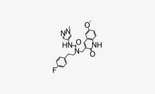 COc1ccc2[nH]c(=O)c(CN(CCc3ccc(F)cc3)C(=O)Nc3cnn(C)c3)cc2c1